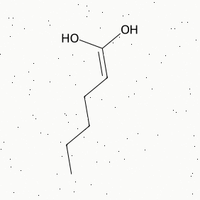 CCCCC=C(O)O